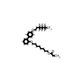 C=CC(=O)OCCCCCCCCOc1ccccc1-c1ccc(OCCC(F)(F)C(F)(F)C(F)(F)C(F)(F)F)cc1